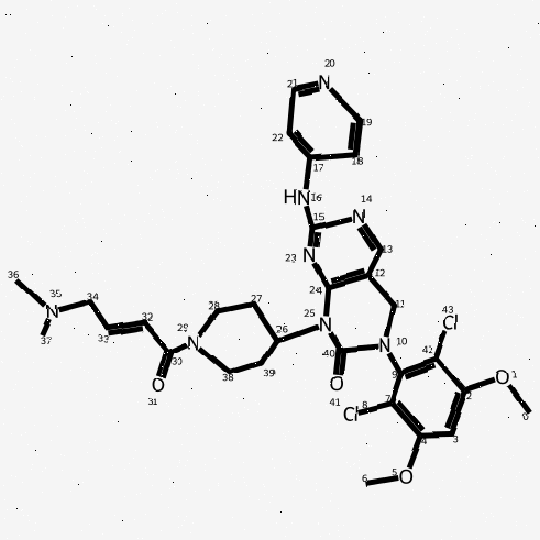 COc1cc(OC)c(Cl)c(N2Cc3cnc(Nc4ccncc4)nc3N(C3CCN(C(=O)C=CCN(C)C)CC3)C2=O)c1Cl